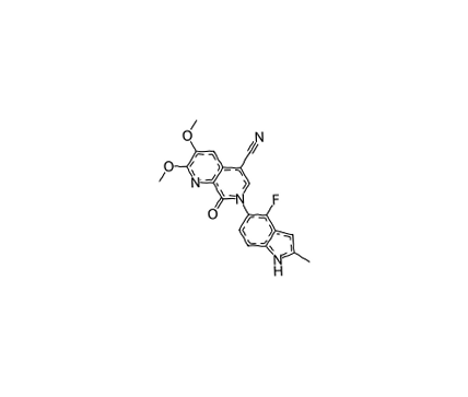 COc1cc2c(C#N)cn(-c3ccc4[nH]c(C)cc4c3F)c(=O)c2nc1OC